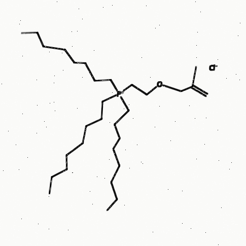 C=C(C)COCC[P+](CCCCCCCC)(CCCCCCCC)CCCCCCCC.[Cl-]